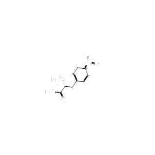 N[C@@H](CC1=CCC(=S(=O)=O)C=C1)C(=O)O